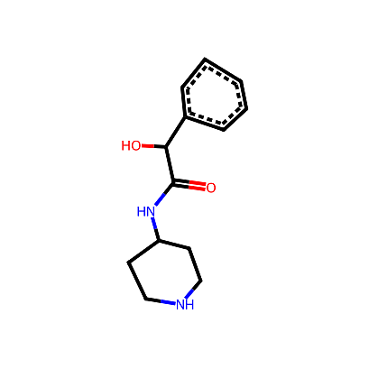 O=C(NC1CCNCC1)C(O)c1ccccc1